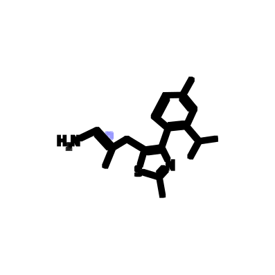 C/C(=C\N)Cc1sc(C)nc1-c1ccc(C)cc1C(C)C